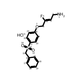 Cl.NCC=C(F)COc1ccc(S(=O)(=O)Cc2ccccc2)cc1